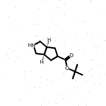 CC(C)(C)OC(=O)C1C[C@H]2CNC[C@H]2C1